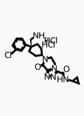 Cl.Cl.NC[C@]1(c2cccc(Cl)c2)CC[C@H](N2CCn3c(C(=O)NC4CC4)nnc3C2=O)CC1